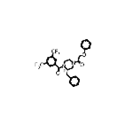 O=C(COc1ccccc1)N1CCN(C(=O)c2cc(C(F)(F)F)cc(C(F)(F)F)c2)[C@H](Cc2ccccc2)C1